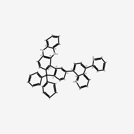 c1ccc(C2(c3ccccc3)c3ccc(-c4ccc(-c5ccccn5)c5cccnc45)cc3-c3c2ccc2c3Oc3ccccc3S2)cc1